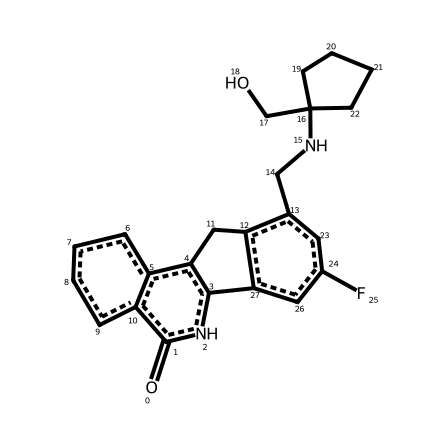 O=c1[nH]c2c(c3ccccc13)Cc1c(CNC3(CO)CCCC3)cc(F)cc1-2